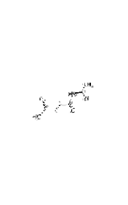 CC(O)NC(=O)CCC(=O)O